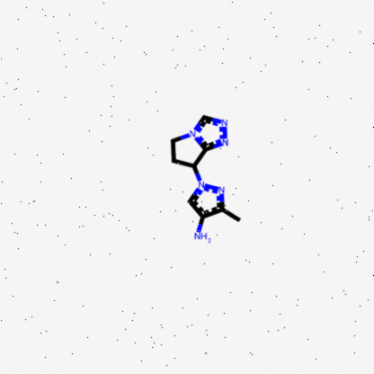 Cc1nn(C2CCn3cnnc32)cc1N